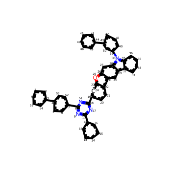 c1ccc(-c2ccc(-c3nc(-c4ccccc4)nc(-c4ccc5c(c4)oc4cc6c(cc45)c4ccccc4n6-c4cccc(-c5ccccc5)c4)n3)cc2)cc1